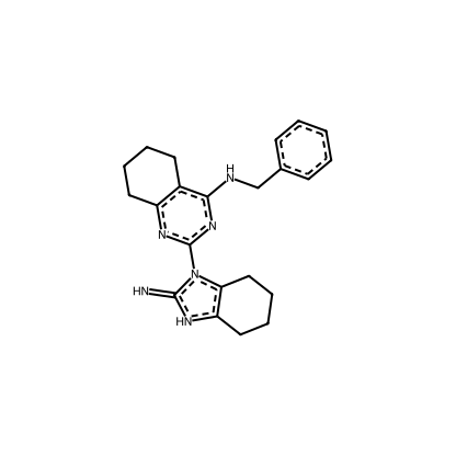 N=c1[nH]c2c(n1-c1nc3c(c(NCc4ccccc4)n1)CCCC3)CCCC2